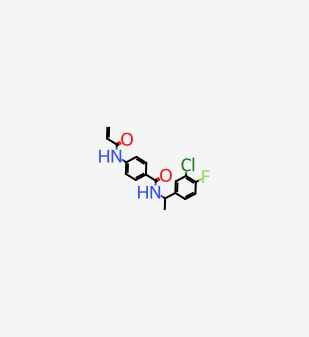 C=CC(=O)Nc1ccc(C(=O)NC(C)c2ccc(F)c(Cl)c2)cc1